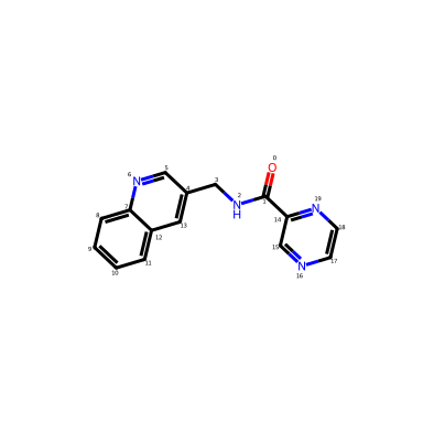 O=C(NCc1cnc2ccccc2c1)c1cnccn1